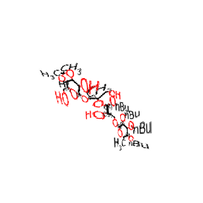 CCCCOC1[C@H](OCCCC)C(C)O[C@@H](OC[C@H](O)[C@H](OCCCC)OC(CO)[C@H](C)O[C@@H]2O[C@@H](CO)[C@@H]3OC(C)(C)OC3C2O)[C@H]1OCCCC